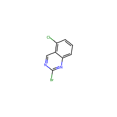 Clc1cccc2nc(Br)ncc12